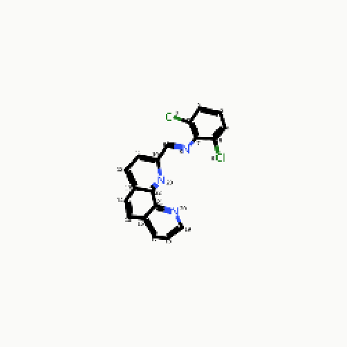 Clc1cccc(Cl)c1N=Cc1ccc2ccc3cccnc3c2n1